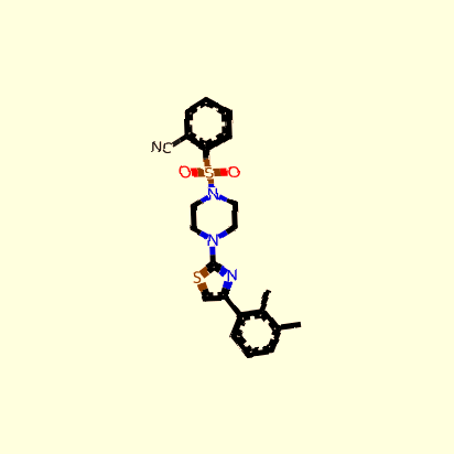 Cc1cccc(-c2csc(N3CCN(S(=O)(=O)c4ccccc4C#N)CC3)n2)c1C